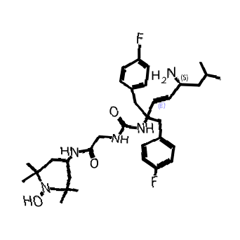 CC(C)C[C@H](N)/C=C/C(Cc1ccc(F)cc1)(Cc1ccc(F)cc1)NC(=O)NCC(=O)NC1CC(C)(C)N(O)C(C)(C)C1